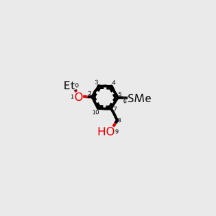 CCOc1ccc(SC)c([CH]O)c1